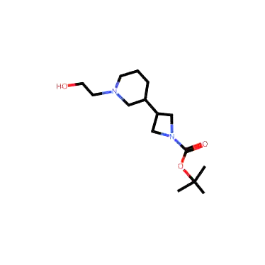 CC(C)(C)OC(=O)N1CC(C2CCCN(CCO)C2)C1